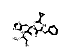 CC(C)C[C@H](NC(=O)[C@H](Cc1c[nH]cn1)NC(=O)[C@H](Cc1ccccc1)NC(=O)C1CC1)C(=O)O